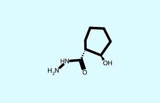 NNC(=O)[C@@H]1CCCC[C@H]1O